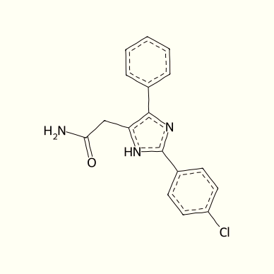 NC(=O)Cc1[nH]c(-c2ccc(Cl)cc2)nc1-c1ccccc1